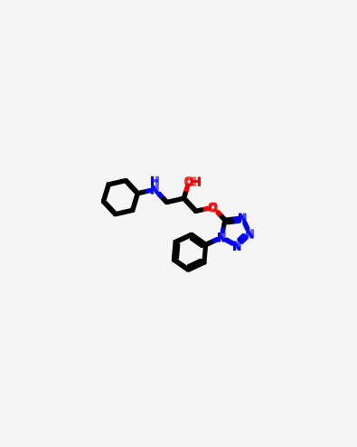 OC(CNC1CCCCC1)COc1nnnn1-c1ccccc1